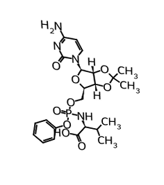 CC(C)[C@H](NP(=O)(OC[C@H]1O[C@@H](n2ccc(N)nc2=O)[C@@H]2OC(C)(C)O[C@@H]21)Oc1ccccc1)C(=O)O